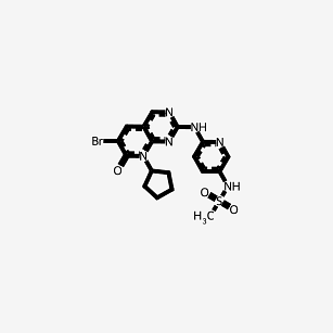 CS(=O)(=O)Nc1ccc(Nc2ncc3cc(Br)c(=O)n(C4CCCC4)c3n2)nc1